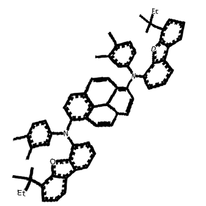 CCC(C)(C)c1cccc2c1oc1c(N(C3=C4C=Cc5ccc(N(c6ccc(C)c(C)c6)c6cccc7c6oc6c(C(C)(C)CC)cccc67)c6c5C4C(C=C3)C=C6)c3ccc(C)c(C)c3)cccc12